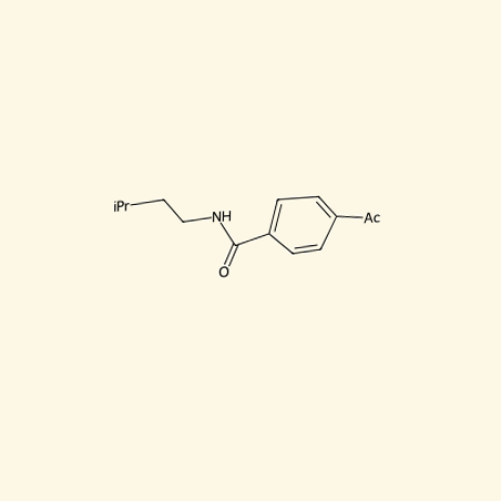 CC(=O)c1ccc(C(=O)NCCC(C)C)cc1